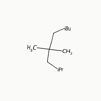 [CH2]C(C)CC(C)(C)CC(C)CC